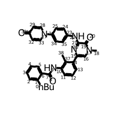 CCCCc1ccccc1C(=O)Nc1cccc(-c2cn(C)c(=O)c(Nc3ccc(-n4ccc(=O)cc4)cc3)n2)c1C